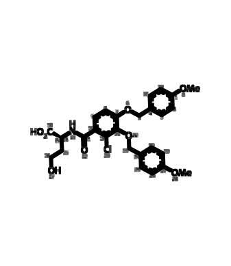 COc1ccc(COc2ccc(C(=O)N[C@@H](CCO)C(=O)O)c(Cl)c2OCc2ccc(OC)cc2)cc1